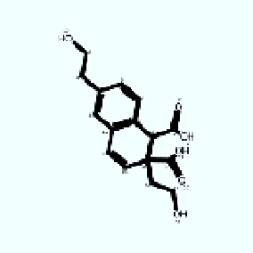 O=C(O)C1c2ccc(CCO)cc2C=CC1(CCO)C(=O)O